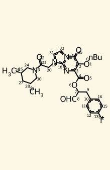 CCCCOc1c(C(=O)OC(C=O)Cc2ccc(F)cc2)nc2n(CC(=O)N3C[C@H](C)C[C@@H](C)C3)ccn2c1=O